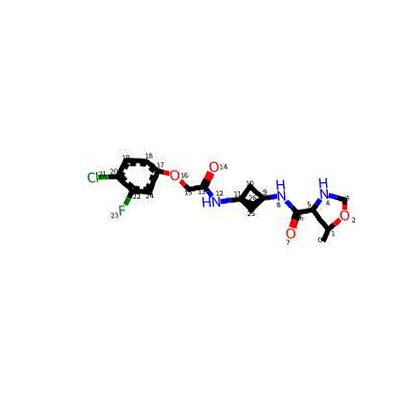 CC1OCNC1C(=O)NC12CC(NC(=O)COc3ccc(Cl)c(F)c3)(C1)C2